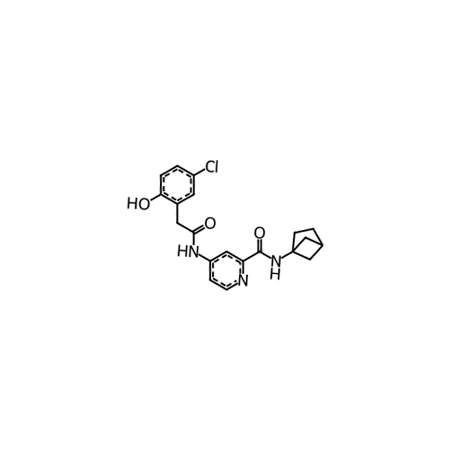 O=C(Cc1cc(Cl)ccc1O)Nc1ccnc(C(=O)NC23CCC(C2)C3)c1